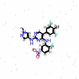 [2H]c1c(F)cc(-c2cnc(Nc3cnn(C)c3)nc2Nc2cc([N+](=O)[O-])ccc2F)cc1F